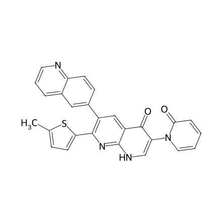 Cc1ccc(-c2nc3[nH]cc(-n4ccccc4=O)c(=O)c3cc2-c2ccc3ncccc3c2)s1